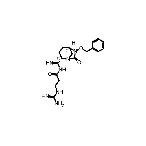 N=C(N)NCCC(=O)NC(=N)[C@@H]1CC[C@@H]2CN1C(=O)N2OCc1ccccc1